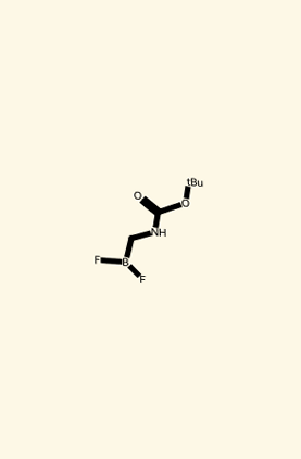 CC(C)(C)OC(=O)NCB(F)F